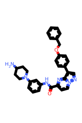 NC1CCN(c2cccc(NC(=O)c3ccn4ncc(-c5ccc(OCc6ccccc6)cc5)c4n3)c2)CC1